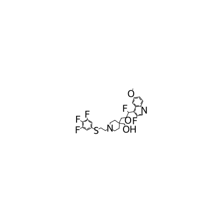 COc1ccc2ncc(F)c(C(F)CCC3(C(=O)O)CCN(CCSc4cc(F)c(F)c(F)c4)CC3)c2c1